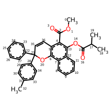 COC(=O)c1c2c(c3ccccc3c1OC(=O)C(C)C)OC(c1ccccc1)(c1ccc(C)cc1)C=C2